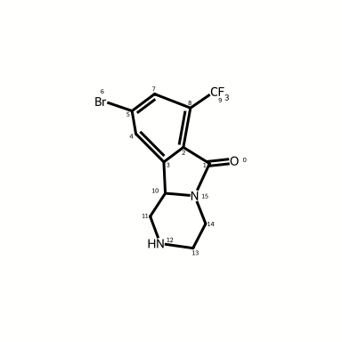 O=C1c2c(cc(Br)cc2C(F)(F)F)C2CNCCN12